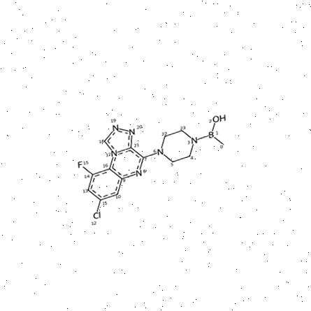 CB(O)N1CCN(c2nc3cc(Cl)cc(F)c3n3cnnc23)CC1